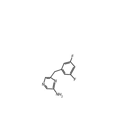 Nc1cncc(Cc2cc(F)cc(F)c2)n1